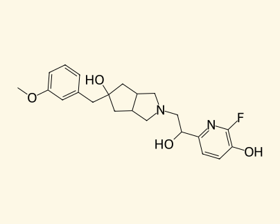 COc1cccc(CC2(O)CC3CN(CC(O)c4ccc(O)c(F)n4)CC3C2)c1